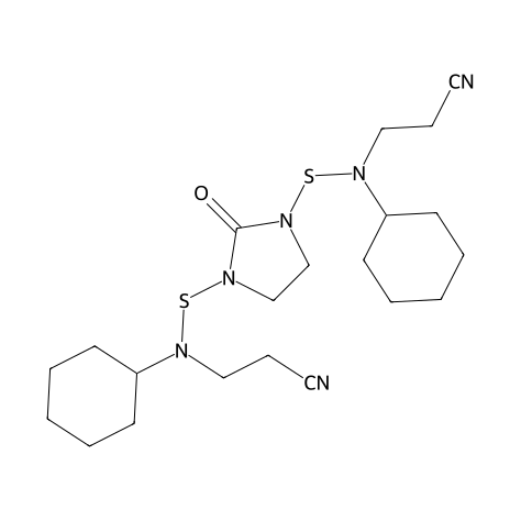 N#CCCN(SN1CCN(SN(CCC#N)C2CCCCC2)C1=O)C1CCCCC1